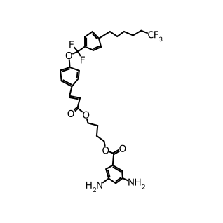 Nc1cc(N)cc(C(=O)OCCCCOC(=O)C=Cc2ccc(OC(F)(F)c3ccc(CCCCCC(F)(F)F)cc3)cc2)c1